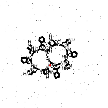 O=C1N[C@H]2CSS[C@H](NC(=O)[C@H](Cc3c[nH]c4ccccc34)NC(=O)[C@H](Cc3c[nH]cn3)NC(=O)[C@@H](Cc3ccccc3)NC(=O)[C@H](Cc3c[nH]cn3)NC(=O)C3(CCNCC3)NC2=O)C(=O)NC2(CCNCC2)C(=O)N[C@@H](Cc2c[nH]cn2)C(=O)N[C@H](Cc2ccccc2)C(=O)N[C@@H](Cc2c[nH]cn2)C(=O)N[C@H]1Cc1c[nH]c2ccccc12